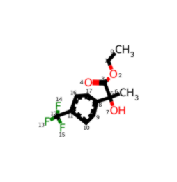 CCOC(=O)C(C)(O)c1ccc(C(F)(F)F)cc1